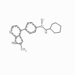 Cc1cc2c(-c3ccc([S@@+]([O-])NC4CCCCC4)cc3)ccnc2[nH]1